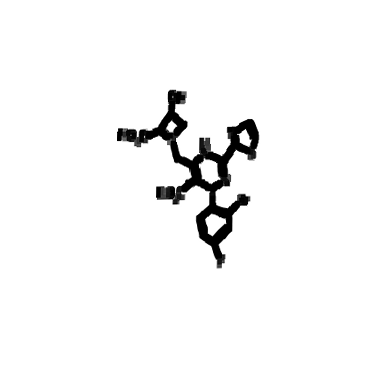 CCOC(=O)C1=C(CN2CC(O)C2C(=O)O)NC(c2nccs2)=N[C@H]1c1ccc(F)cc1Br